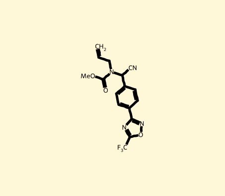 C=CCN(C(=O)OC)C(C#N)c1ccc(-c2noc(C(F)(F)F)n2)cc1